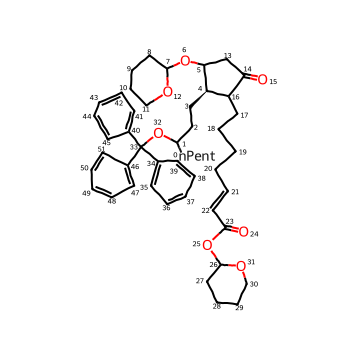 CCCCCC(CC[C@H]1C(OC2CCCCO2)CC(=O)C1CCCCC=CC(=O)OC1CCCCO1)OC(c1ccccc1)(c1ccccc1)c1ccccc1